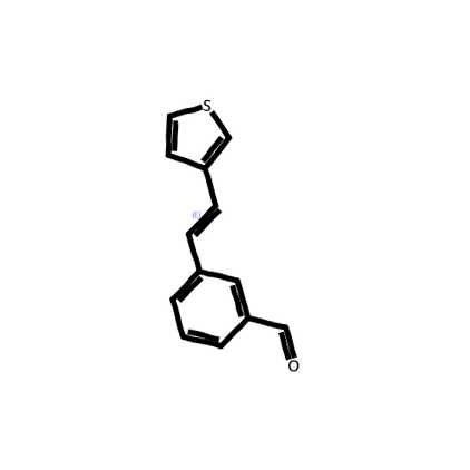 O=Cc1cccc(/C=C/c2ccsc2)c1